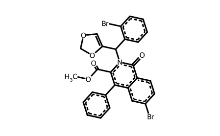 COC(=O)c1c(-c2ccccc2)c2cc(Br)ccc2c(=O)n1C(C1=COCO1)c1ccccc1Br